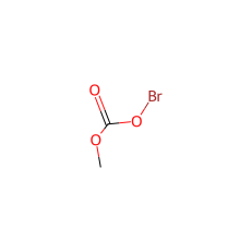 COC(=O)OBr